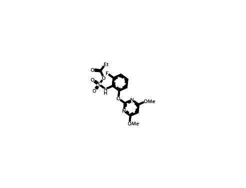 CCC(=O)OS(=O)(=O)Nc1c(F)cccc1Oc1nc(OC)cc(OC)n1